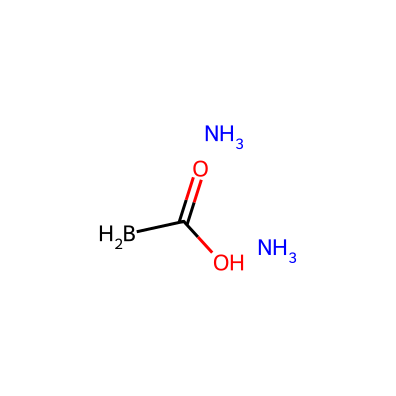 BC(=O)O.N.N